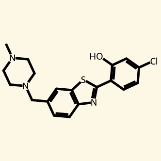 CN1CCN(Cc2ccc3nc(-c4ccc(Cl)cc4O)sc3c2)CC1